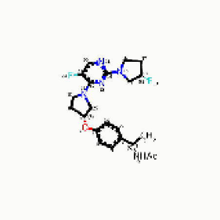 CC(=O)N[C@@H](C)c1ccc(O[C@@H]2CCN(c3nc(N4CC[C@H](F)C4)ncc3F)C2)cc1